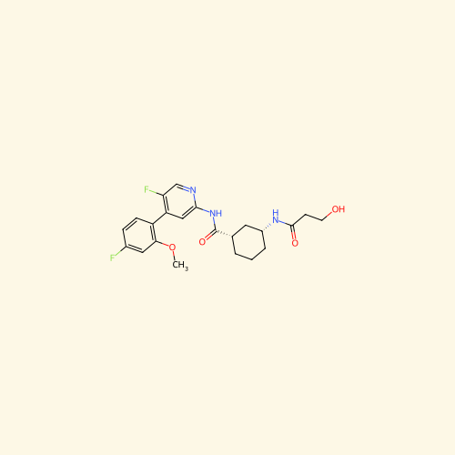 COc1cc(F)ccc1-c1cc(NC(=O)[C@H]2CCC[C@@H](NC(=O)CCO)C2)ncc1F